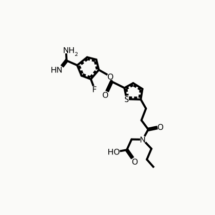 CCCN(CC(=O)O)C(=O)CCc1ccc(C(=O)Oc2ccc(C(=N)N)cc2F)s1